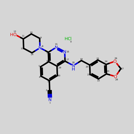 Cl.N#Cc1ccc2c(N3CCC(O)CC3)nnc(NCc3ccc4c(c3)OCO4)c2c1